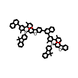 Cc1ccccc1-c1cc(-c2cc(-c3ccc4c(c3)oc3cc(N(c5ccc6c(c5)C(C)(C)c5ccccc5-6)c5c(C)cc(-c6cccc7ccccc67)cc5-c5c(C)cccc5C)ccc34)cc3ccccc23)cc(C)c1N(c1ccc2c(c1)C(C)(C)c1ccccc1-2)c1ccc2c(c1)oc1ccccc12